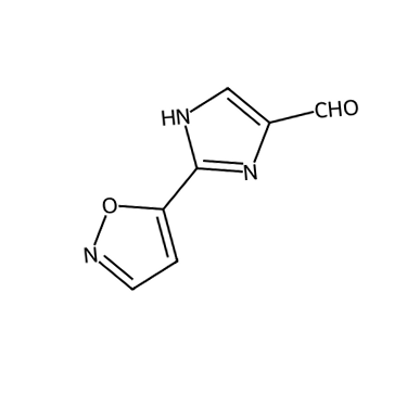 O=Cc1c[nH]c(-c2ccno2)n1